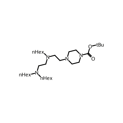 CCCCCCN(CCCCCC)CCN(CCCCCC)CCN1CCN(C(=O)OC(C)(C)C)CC1